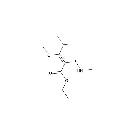 CCOC(=O)/C(SNC)=C(\OC)C(C)C